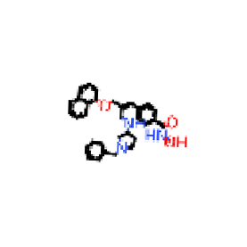 O=C(NO)c1ccc(C=C(CNC2CCN(Cc3ccccc3)C2)COc2cccc3ccccc23)cc1